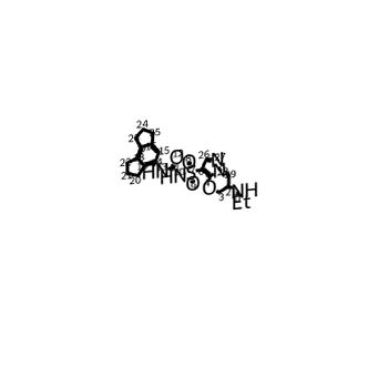 CCNC1COc2c(S(=O)(=O)NC(=O)Nc3cc4c(c5c3CCC5)CCC4)cnn2C1